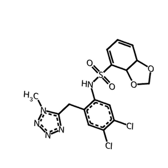 Cn1nnnc1Cc1cc(Cl)c(Cl)cc1NS(=O)(=O)C1=CC=CC2OCOC12